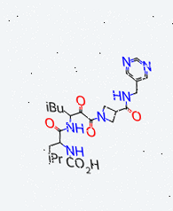 CCC(C)C(NC(=O)C(CC(C)C)NC(=O)O)C(=O)C(=O)N1CC(C(=O)NCc2cncnc2)C1